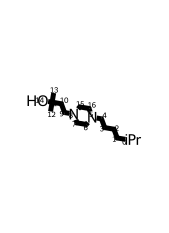 CC(C)CCCCN1CCN(CCC(C)(C)O)CC1